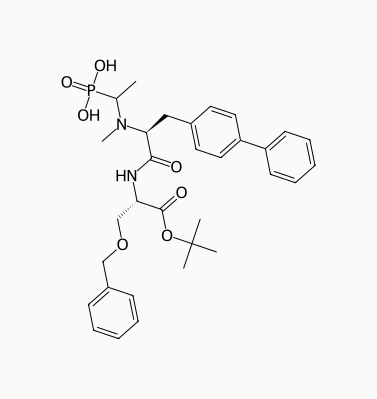 CC(N(C)[C@@H](Cc1ccc(-c2ccccc2)cc1)C(=O)N[C@@H](COCc1ccccc1)C(=O)OC(C)(C)C)P(=O)(O)O